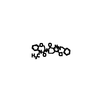 CN1C(=O)[C@@H](N2CCc3c(nn(Cc4ccccc4)c3Cl)C2=O)COc2ccccc21